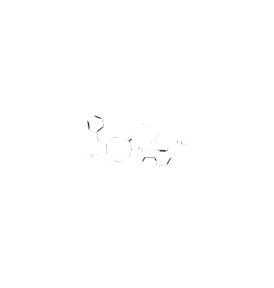 CCC[C@H]1OCC[C@H](NC(=O)c2nccc(OC)c2OCOC(C)=O)C(=O)O[C@@H](C)[C@@H]1Cc1ccccc1